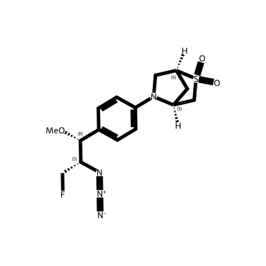 CO[C@H](c1ccc(N2C[C@@H]3C[C@H]2CS3(=O)=O)cc1)[C@@H](CF)N=[N+]=[N-]